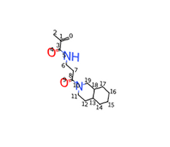 C=C(C)C(=O)NCCC(=O)N1CCC2CCCCC2C1